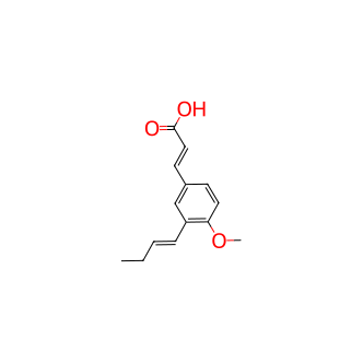 CCC=Cc1cc(C=CC(=O)O)ccc1OC